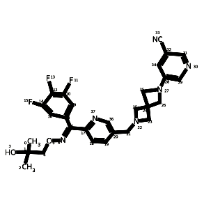 CC(C)(O)CON=C(c1cc(F)c(F)c(F)c1)c1ccc(CN2CC3(C2)CN(c2cncc(C#N)c2)C3)cn1